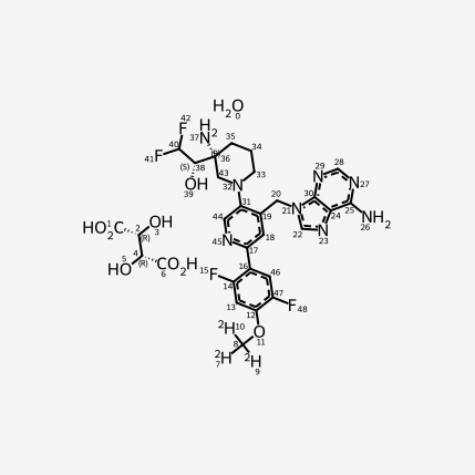 O.O=C(O)[C@H](O)[C@@H](O)C(=O)O.[2H]C([2H])([2H])Oc1cc(F)c(-c2cc(Cn3cnc4c(N)ncnc43)c(N3CCC[C@](N)([C@H](O)C(F)F)C3)cn2)cc1F